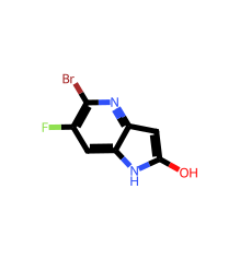 Oc1cc2nc(Br)c(F)cc2[nH]1